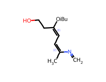 C=N/C(C)=C\C=C(/CCO)OCC(C)C